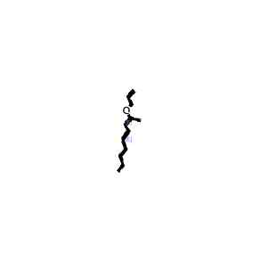 C=CCO/C(C)=C/C=C/CCCC